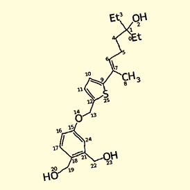 CCC(O)(CC)CCC=C(C)c1ccc(COc2ccc(CO)c(CO)c2)s1